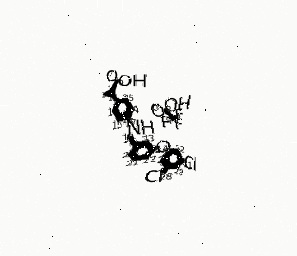 O=C(O)C(F)(F)F.O=C(O)C1CC1c1ccc(NCc2cccc(Oc3cc(Cl)cc(Cl)c3)c2)cc1